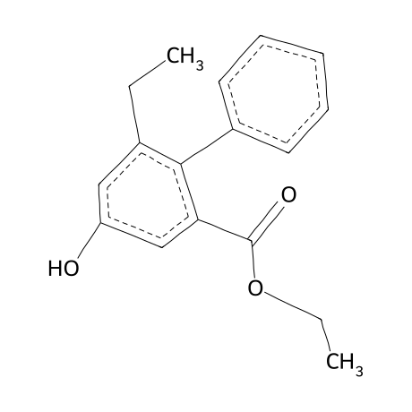 CCOC(=O)c1cc(O)cc(CC)c1-c1ccccc1